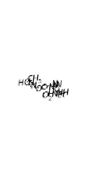 CCNc1cc2ncnc(NCc3ccc(OCCN4CCN(C(C)O)CC4)cc3)c2cc1[N+](=O)[O-]